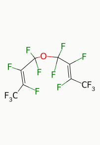 FC(=C(F)C(F)(F)OC(F)(F)C(F)=C(F)C(F)(F)F)C(F)(F)F